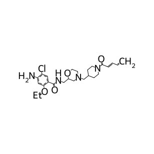 C=CC=CC(=O)N1CCC(CN2CCOC(CNC(=O)c3cc(Cl)c(N)cc3OCC)C2)CC1